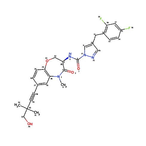 CN1C(=O)[C@H](NC(=O)n2cc(Cc3ccc(F)cc3F)cn2)COc2ccc(C#CC(C)(C)CO)cc21